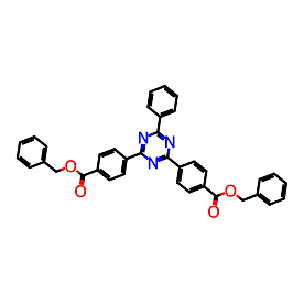 O=C(OCc1ccccc1)c1ccc(-c2nc(-c3ccccc3)nc(-c3ccc(C(=O)OCc4ccccc4)cc3)n2)cc1